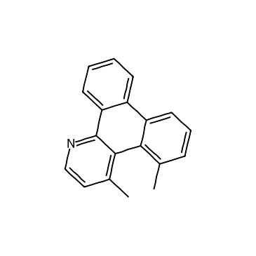 Cc1cccc2c3ccccc3c3nccc(C)c3c12